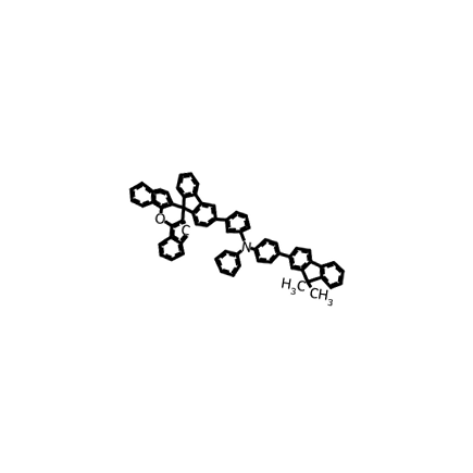 CC1(C)c2ccccc2-c2ccc(-c3ccc(N(c4ccccc4)c4cccc(-c5ccc6c(c5)-c5ccccc5C65c6ccc7ccccc7c6Oc6c5ccc5ccccc65)c4)cc3)cc21